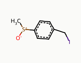 C[S+]([O-])c1ccc(CI)cc1